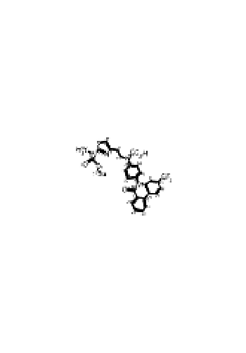 CN(C(=O)OC(C)(C)C)c1nc(CCN(C(=O)O)c2ccc(NC(=O)c3ccccc3-c3ccc(C(F)(F)F)cc3)cc2)cs1